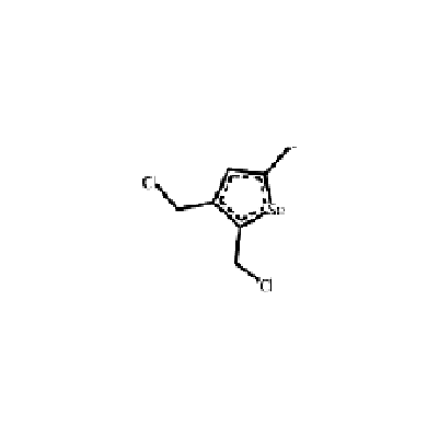 [CH2]c1cc(CCl)c(CCl)[se]1